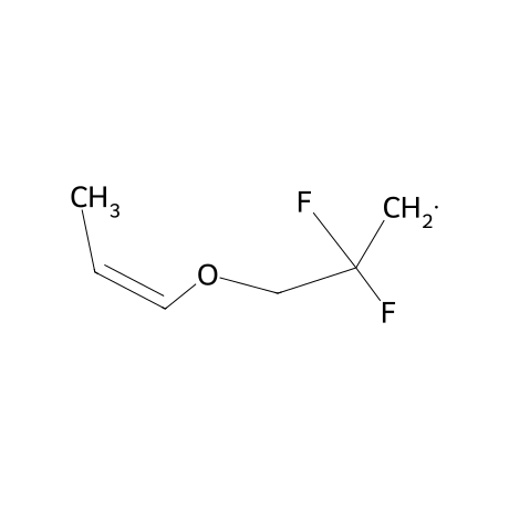 [CH2]C(F)(F)CO/C=C\C